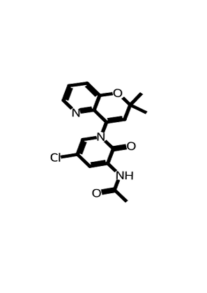 CC(=O)Nc1cc(Cl)cn(C2=CC(C)(C)Oc3cccnc32)c1=O